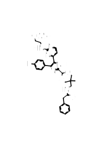 COCCNc1nccc(-c2[nH]c(C3OCC(C)(CNC(=O)Cc4ccccc4)CO3)nc2-c2ccc(F)cc2)n1